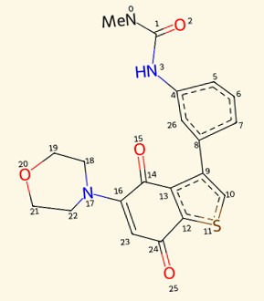 CNC(=O)Nc1cccc(-c2csc3c2C(=O)C(N2CCOCC2)=CC3=O)c1